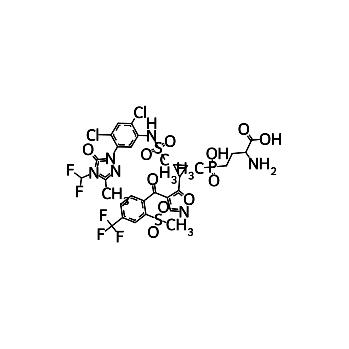 CP(=O)(O)CCC(N)C(=O)O.CS(=O)(=O)c1cc(C(F)(F)F)ccc1C(=O)c1cnoc1C1CC1.Cc1nn(-c2cc(NS(C)(=O)=O)c(Cl)cc2Cl)c(=O)n1C(F)F